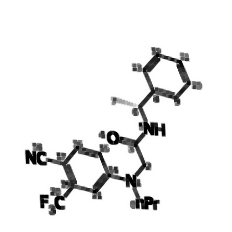 CCCN(CC(=O)N[C@H](C)c1ccccc1)c1ccc(C#N)c(C(F)(F)F)c1